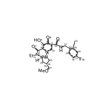 CCN1C(=O)c2c(O)c(=O)c(C(=O)NCc3ccc(F)cc3I)cn2N2C[C@@H](COC)C[C@@H]12